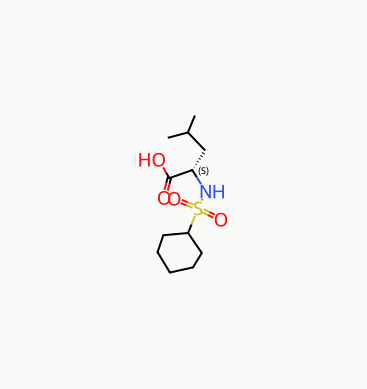 CC(C)C[C@H](NS(=O)(=O)C1CCCCC1)C(=O)O